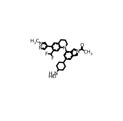 CC(=O)n1cc2cc(C3CCC(N)CC3)cc(N3CCCc4cc(-c5cnn(C)c5)c(C(F)F)cc43)c2c1.Cl